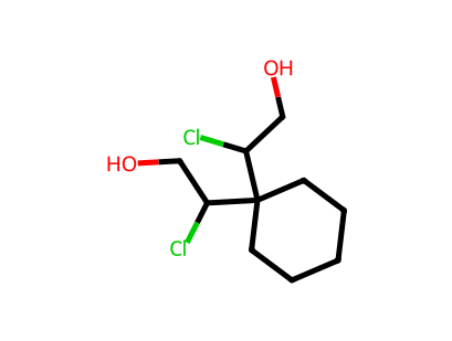 OCC(Cl)C1(C(Cl)CO)CCCCC1